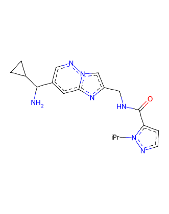 CC(C)n1nccc1C(=O)NCc1cn2ncc(C(N)C3CC3)cc2n1